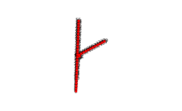 CCCCCCCCCCCCCCCCCCCCCCCCCCCS[C](CCCCCCCCCCCCCCCCCCCCCCCCCCC)C(CCCCCCCCCCCCCCCCCCCCCCC)SC